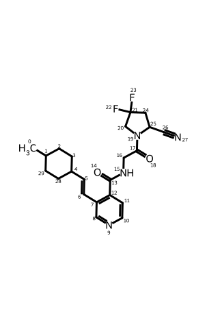 CC1CCC(C=Cc2cnccc2C(=O)NCC(=O)N2CC(F)(F)CC2C#N)CC1